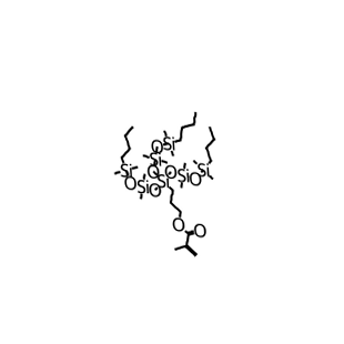 C=C(C)C(=O)OCCC[Si](O[Si](C)(C)O[Si](C)(C)CCCC)(O[Si](C)(C)O[Si](C)(C)CCCC)O[Si](C)(C)O[Si](C)(C)CCCC